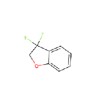 FC1(F)COc2ccccc21